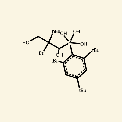 CCCCC(CC)(CO)C(O)P(O)(O)(O)c1c(C(C)(C)C)cc(C(C)(C)C)cc1C(C)(C)C